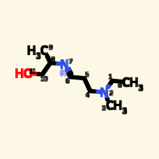 CCN(C)CC/C=N/C(C)CO